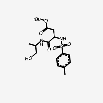 Cc1ccc(S(=O)(=O)N[C@H](CC(=O)OC(C)(C)C)C(=O)NC(C)CO)cc1